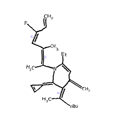 C=C/C(F)=C\C(C)=C(/C)N1C(CC)=CC(=C)/C(=C(/C)CCCC)C1=C1C=C1